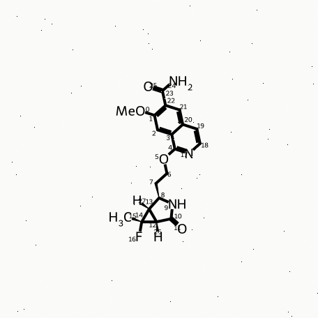 COc1cc2c(OCC[C@H]3NC(=O)[C@H]4[C@@H]3[C@@]4(C)F)nccc2cc1C(N)=O